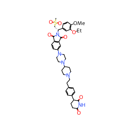 CCOc1cc([C@@H](CS(C)(=O)=O)N2C(=O)c3ccc(N4CCN(C5CCN(CCc6ccc(C7CCC(=O)NC7=O)cc6)CC5)CC4)cc3C2=O)ccc1OC